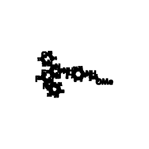 COCCN[C@H]1CC[C@H](CNc2nc(N3CCOCC3)cc(-n3c(C(F)F)nc4ccccc43)n2)CC1